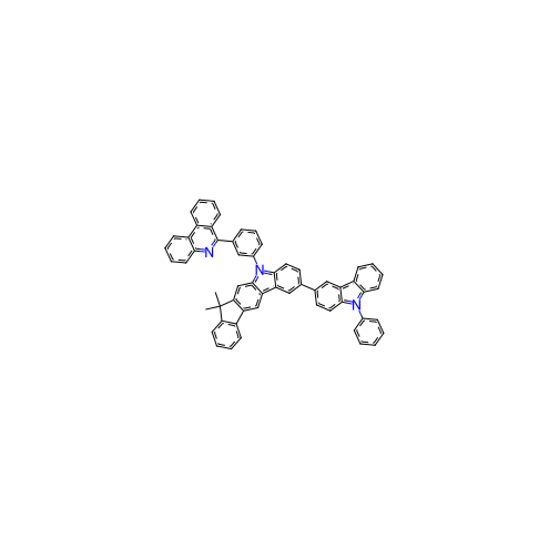 CC1(C)c2ccccc2-c2cc3c4cc(-c5ccc6c(c5)c5ccccc5n6-c5ccccc5)ccc4n(-c4cccc(-c5nc6ccccc6c6ccccc56)c4)c3cc21